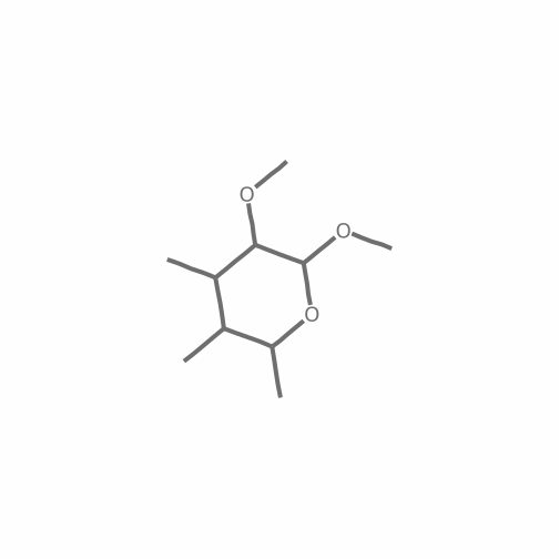 COC1OC(C)C(C)C(C)C1OC